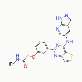 CC(C)NC(=O)COc1cccc(-c2nc(Nc3cnc4[nH]ncc4c3)c3sccc3n2)c1